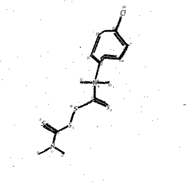 CN(C)C(=S)SSC(=S)[N+](C)(C)c1ccc(Cl)cc1